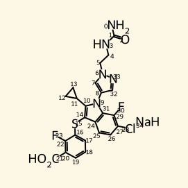 NC(=O)NCCn1cc(-n2c(C3CC3)c(Sc3cccc(C(=O)O)c3F)c3ccc(Cl)c(F)c32)cn1.[NaH]